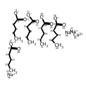 CCCCC(=O)[O-].CCCCC(=O)[O-].CCCCC(=O)[O-].CCCCC(=O)[O-].CCCCC(=O)[O-].[Ca+2].[Na+].[Na+].[Na+]